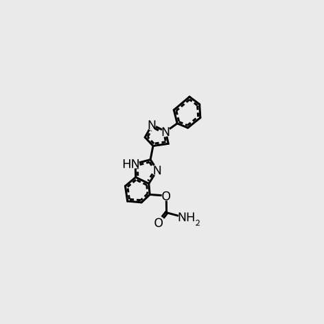 NC(=O)Oc1cccc2[nH]c(-c3cnn(-c4ccccc4)c3)nc12